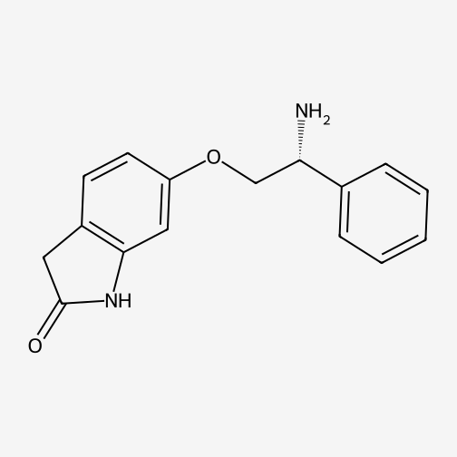 N[C@@H](COc1ccc2c(c1)NC(=O)C2)c1ccccc1